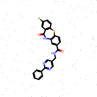 O=C(NCc1cnc(-c2ccccc2)nc1)c1ccc2c(c1)NC(=O)c1cc(F)ccc1S2